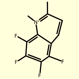 Cc1ccc2c(F)c(F)c(F)c(F)c2[n+]1C